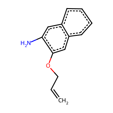 C=CCOc1cc2ccccc2cc1N